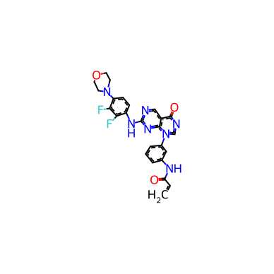 C=CC(=O)Nc1cccc(-n2cnc(=O)c3cnc(Nc4ccc(N5CCOCC5)c(F)c4F)nc32)c1